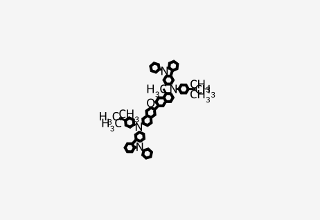 Cc1c(N(c2ccc(C(C)(C)C)cc2)c2ccc3c(c2)c2ccccc2n3-c2ccccc2)ccc2cc3c(cc12)oc1cc2cc(N(c4ccc(C(C)(C)C)cc4)c4ccc5c(c4)c4ccccc4n5-c4ccccc4)ccc2cc13